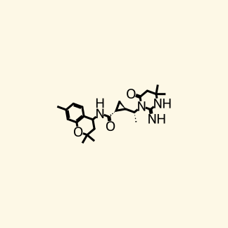 Cc1ccc2c(c1)OC(C)(C)CC2NC(=O)[C@@H]1C[C@H]1[C@@H](C)N1C(=N)NC(C)(C)CC1=O